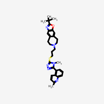 Cc1ccc2c(-c3nnc(SCCCN4CCc5cc6nc(C(C)(C)C)oc6cc5CC4)n3C)cccc2n1